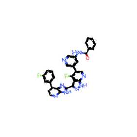 O=C(Nc1cncc(-c2cnc3[nH]nc(-c4nc5c(-c6cccc(F)c6)ccnc5[nH]4)c3c2F)c1)c1ccccc1